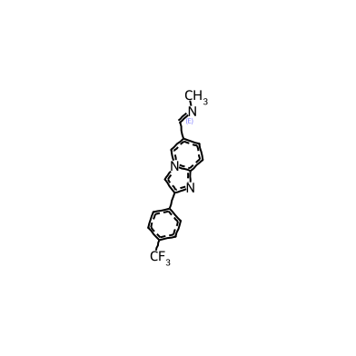 C/N=C/c1ccc2nc(-c3ccc(C(F)(F)F)cc3)cn2c1